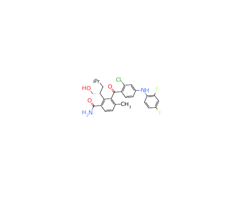 Cc1ccc(C(N)=O)c([C@H](CO)CC(C)C)c1C(=O)c1ccc(Nc2ccc(F)cc2F)cc1Cl